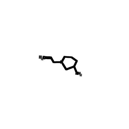 C=CCN1CCCC(N)C1